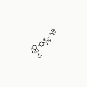 O=C(OCCNS(=O)(=O)c1ccc(-c2ccnc3[nH]c(C4CCC4)cc23)cc1)C(F)(F)F